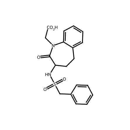 O=C(O)CN1C(=O)C(NS(=O)(=O)Cc2ccccc2)CCc2ccccc21